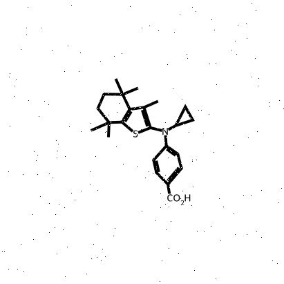 Cc1c(N(c2ccc(C(=O)O)cc2)C2CC2)sc2c1C(C)(C)CCC2(C)C